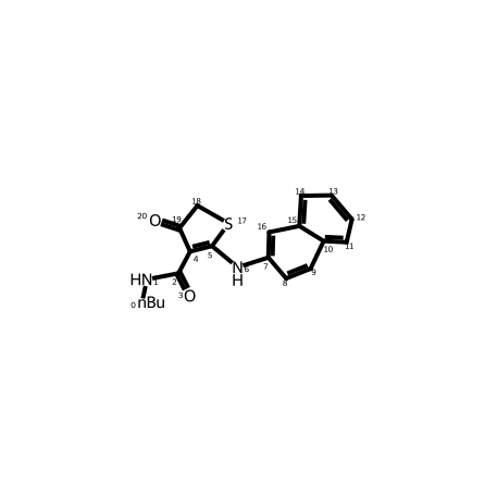 CCCCNC(=O)C1=C(Nc2ccc3ccccc3c2)SCC1=O